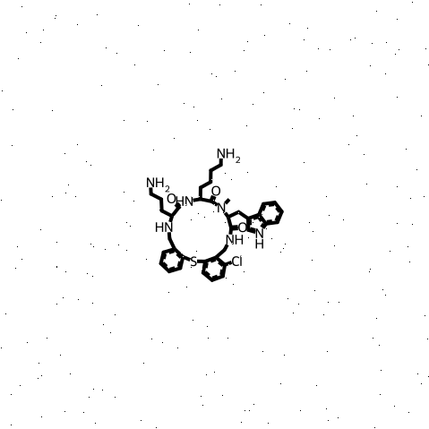 CN1C(=O)C(CCCCN)NC(=O)C(CCCN)NCc2ccccc2Sc2cccc(Cl)c2CNC(=O)C1Cc1c[nH]c2ccccc12